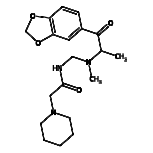 CC(C(=O)c1ccc2c(c1)OCO2)N(C)CNC(=O)CN1CCCCC1